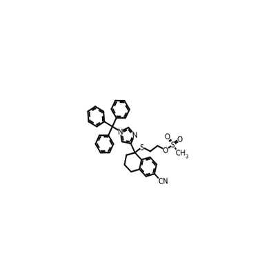 CS(=O)(=O)OCCSC1(c2cn(C(c3ccccc3)(c3ccccc3)c3ccccc3)cn2)CCCc2cc(C#N)ccc21